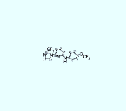 FC(F)(F)Oc1ccc(Nc2cccc(-n3ccnc3C(F)(F)F)n2)cc1